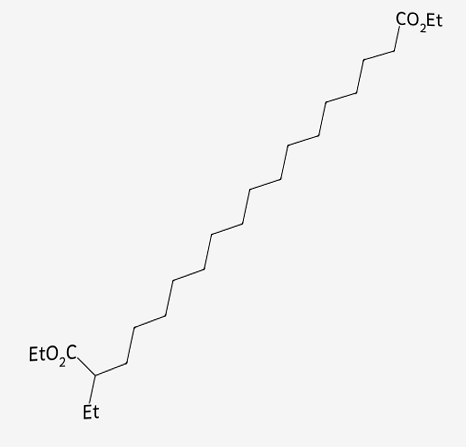 CCOC(=O)CCCCCCCCCCCCCCCC(CC)C(=O)OCC